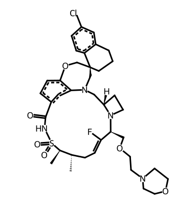 C[C@@H]1[C@@H](C)C/C=C(\F)[C@H](COCCN2CCOCC2)N2CC[C@H]2CN2C[C@@]3(CCCc4cc(Cl)ccc43)COc3ccc(cc32)C(=O)NS1(=O)=O